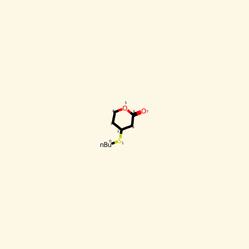 CCCCSC1CCOC(=O)C1